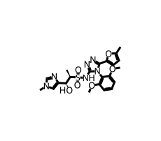 COc1cccc(OC)c1-n1c(NS(=O)(=O)[C@H](C)[C@H](O)c2cn(C)cn2)nnc1-c1ccc(C)o1